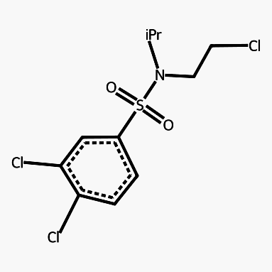 CC(C)N(CCCl)S(=O)(=O)c1ccc(Cl)c(Cl)c1